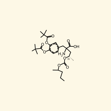 CCCC(C)OC(=O)O[C@@H](C)CC(N)(Cc1ccc(OC(=O)C(C)(C)C)c(OC(=O)C(C)(C)C)c1)C(=O)O